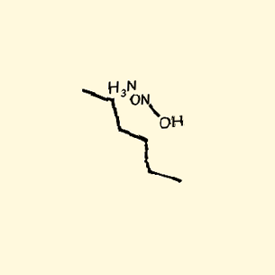 CCCCCC.N.O=NO